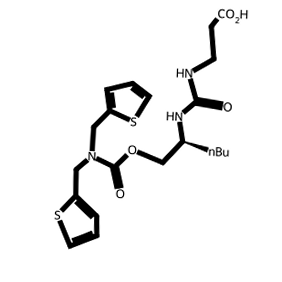 CCCC[C@@H](COC(=O)N(Cc1cccs1)Cc1cccs1)NC(=O)NCCC(=O)O